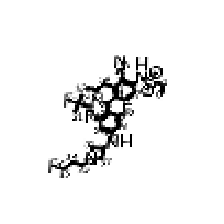 CCS(=O)(=O)Nc1ccc2c(c1C#N)CC(C)N(CC(C)(C)F)C2c1c(F)cc(NC2CN(CCCF)C2)cc1F